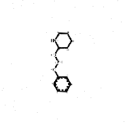 B(Oc1ccccc1)OC1CCCCN1